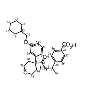 CC(NC(=O)C1(c2ccnc(OCC3CCCCC3)c2)CCOCC1)c1ccc(C(=O)O)cc1